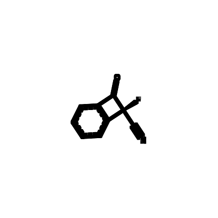 N#C[C@@]1(F)C(=O)c2ccccc21